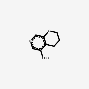 O=Cc1cncc2c1CCCO2